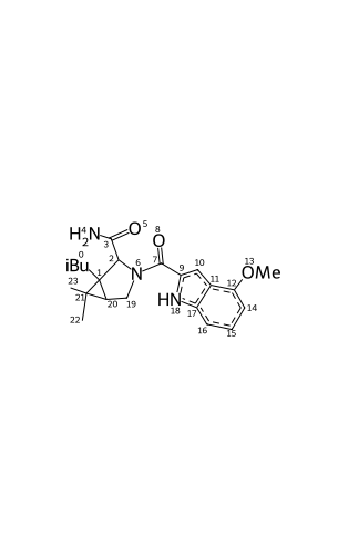 CCC(C)C12C(C(N)=O)N(C(=O)c3cc4c(OC)cccc4[nH]3)CC1C2(C)C